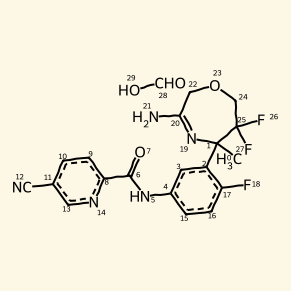 CC1(c2cc(NC(=O)c3ccc(C#N)cn3)ccc2F)N=C(N)COCC1(F)F.O=CO